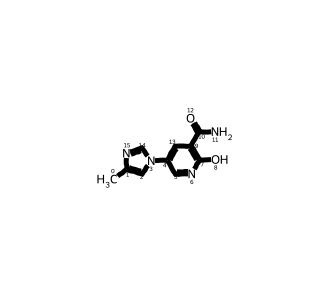 Cc1cn(-c2cnc(O)c(C(N)=O)c2)cn1